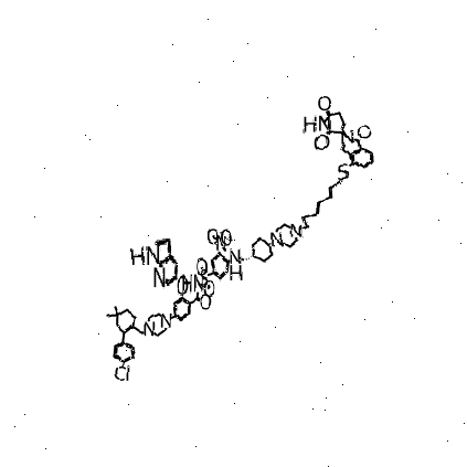 CC1(C)CCC(CN2CCN(c3ccc(C(=O)NS(=O)(=O)c4ccc(NC[C@H]5CC[C@@H](N6CCN(CCCCCCCSc7cccc8c7CN(C7CCC(=O)NC7=O)C8=O)CC6)CC5)c([N+](=O)[O-])c4)c(Oc4cnc5[nH]ccc5c4)c3)CC2)=C(c2ccc(Cl)cc2)C1